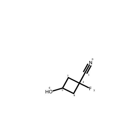 N#CC1(F)CC(O)C1